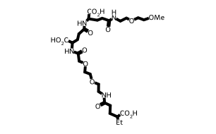 CCC(CCC(=O)NCCOCCOCC(=O)NC(CCC(=O)NC(CCC(=O)NCCOCCOC)C(=O)O)C(=O)O)C(=O)O